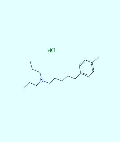 CCCN(CCC)CCCCCc1ccc(C)cc1.Cl